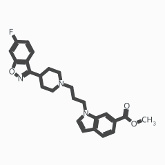 COC(=O)c1ccc2ccn(CCCN3CCC(c4noc5cc(F)ccc45)CC3)c2c1